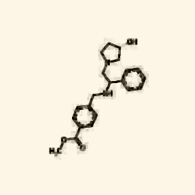 COC(=O)c1ccc(CNC(CN2CC[C@H](O)C2)c2ccccc2)cc1